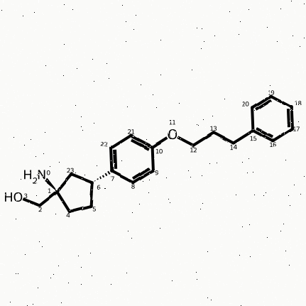 N[C@]1(CO)CC[C@@H](c2ccc(OCCCc3ccccc3)cc2)C1